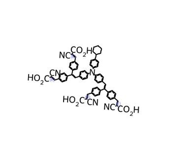 N#C/C(=C\c1ccc(C(=Cc2ccc(N(c3ccc(C=C(c4ccc(/C=C(\C#N)C(=O)O)cc4)c4ccc(/C=C(\C#N)C(=O)O)cc4)cc3)c3ccc(C4CCCCC4)cc3)cc2)c2ccc(/C=C(\C#N)C(=O)O)cc2)cc1)C(=O)O